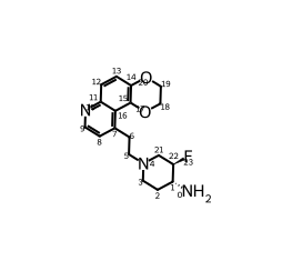 N[C@@H]1CCN(CCc2ccnc3ccc4c(c23)OCCO4)C[C@H]1F